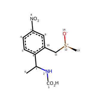 CC(NC(=O)O)c1ccc([N+](=O)[O-])cc1C[S@+](C)[O-]